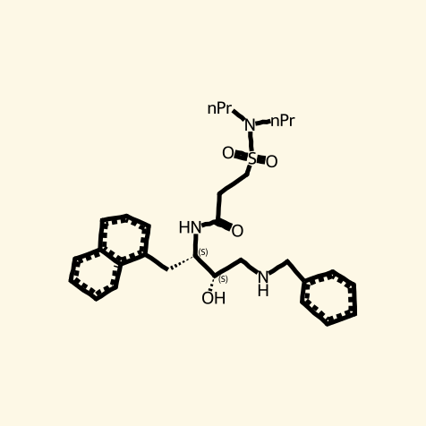 CCCN(CCC)S(=O)(=O)CCC(=O)N[C@@H](Cc1cccc2ccccc12)[C@@H](O)CNCc1ccccc1